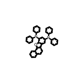 c1ccc(N(c2ccccc2)c2cc(N(c3ccccc3)c3ccccc3)c3oc4c5ccccc5ccc4c3c2)cc1